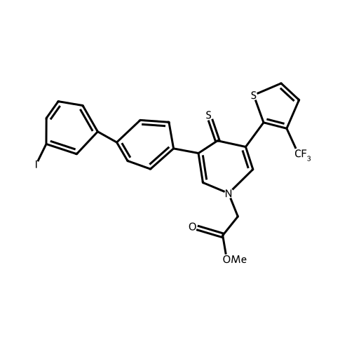 COC(=O)Cn1cc(-c2ccc(-c3cccc(I)c3)cc2)c(=S)c(-c2sccc2C(F)(F)F)c1